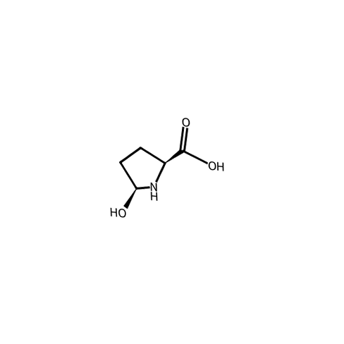 O=C(O)[C@@H]1CC[C@H](O)N1